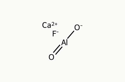 [Ca+2].[F-].[O]=[Al][O-]